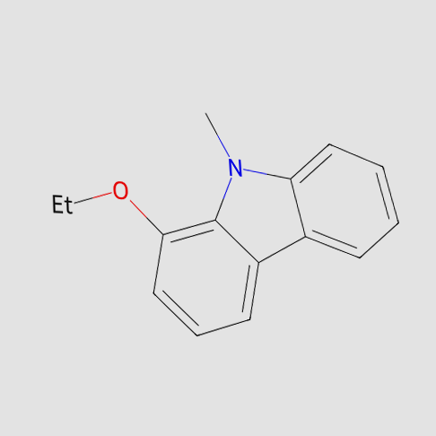 CCOc1cccc2c3ccccc3n(C)c12